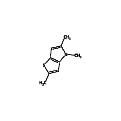 Cc1cc2c(cc(C)n2C)s1